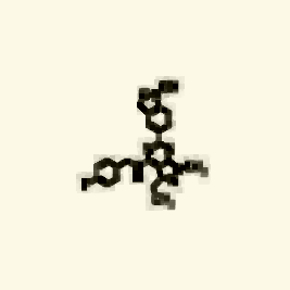 CCc1nn(C)c2nc(-c3ccc4c(c3)COB4O)nc(NCc3ccc(F)cc3)c12